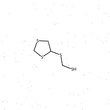 SCSC1CSCS1